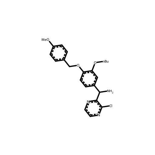 CCCCOc1cc(C(N)c2nccnc2Cl)ccc1OCc1ccc(OC)cc1